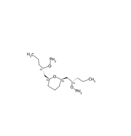 CCC[C@@H](C[C@H]1CCC[C@@H](C[C@H](CCC)OP)O1)OP